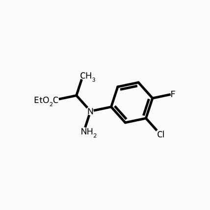 CCOC(=O)C(C)N(N)c1ccc(F)c(Cl)c1